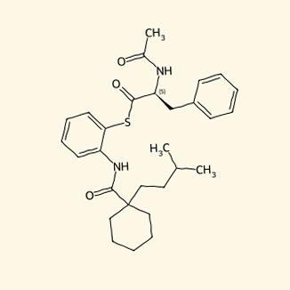 CC(=O)N[C@@H](Cc1ccccc1)C(=O)Sc1ccccc1NC(=O)C1(CCC(C)C)CCCCC1